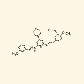 COc1ccc(CCOc2cc(N3CCOCC3)cc(NN=Cc3cccc(C)c3)n2)cc1OC